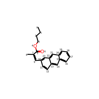 CCCCOC(=O)C(C)=Cc1ccc2cc3ccccc3cc2c1